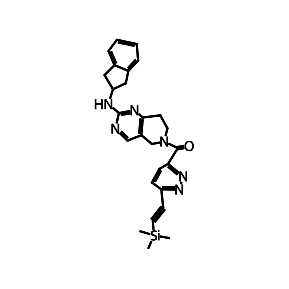 C[Si](C)(C)C#Cc1ccc(C(=O)N2CCc3nc(NC4Cc5ccccc5C4)ncc3C2)nn1